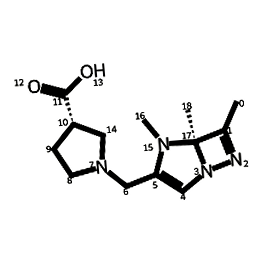 CC1=NN2C=C(CN3CC[C@H](C(=O)O)C3)N(C)[C@@]12C